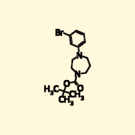 CC(C)(C)OC(=O)N1CCCN(c2cccc(Br)c2)CC1